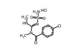 CNC(=NS(N)(=O)=O)N(C)C(=O)c1ccc(Cl)cc1.Cl